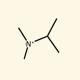 CC(C)[N+](C)C